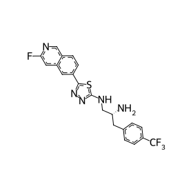 N[C@@H](CNc1nnc(-c2ccc3cnc(F)cc3c2)s1)Cc1ccc(C(F)(F)F)cc1